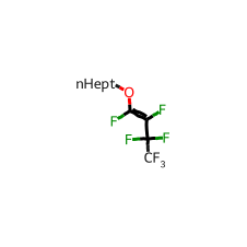 CCCCCCCOC(F)=C(F)C(F)(F)C(F)(F)F